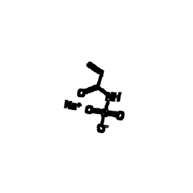 C=CC(=O)NS(=O)(=O)[O-].[Na+]